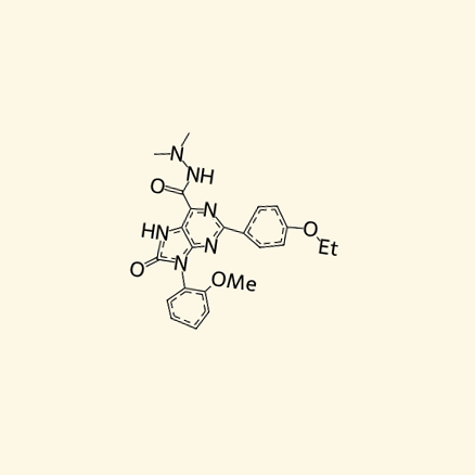 CCOc1ccc(-c2nc(C(=O)NN(C)C)c3[nH]c(=O)n(-c4ccccc4OC)c3n2)cc1